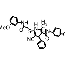 COc1cccc(NC(=O)CSC2=C(C#N)C(c3ccccc3)C(C(=O)Nc3ccc(Cl)cc3)=C(C)N2)c1